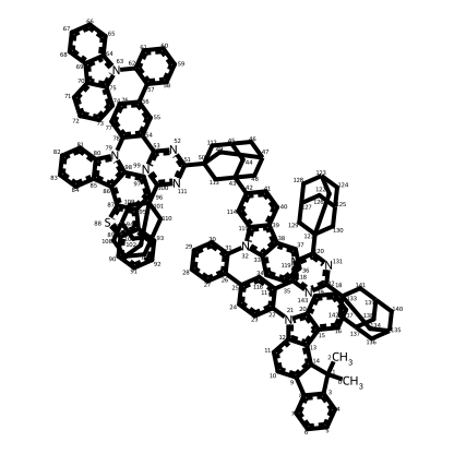 CC1(C)c2ccccc2-c2ccc3c(c21)c1ccccc1n3-c1ccc(-c2ccccc2-n2c3ccccc3c3ccc(C45CC6CC(C4)CC(c4nc(-c7cc(-c8ccccc8-n8c9ccccc9c9ccccc98)ccc7-n7c8ccccc8c8c9sc%10ccccc%10c9ccc87)nc(C78CC9CC(CC(C9)C7)C8)n4)(C6)C5)cc32)cc1-c1nc(C23CC4CC(CC(C4)C2)C3)nc(C23CC4CC(CC(C4)C2)C3)n1